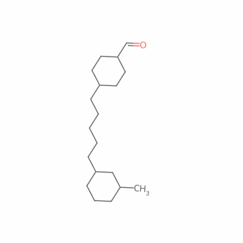 CC1CCCC(CCCCCC2CCC(C=O)CC2)C1